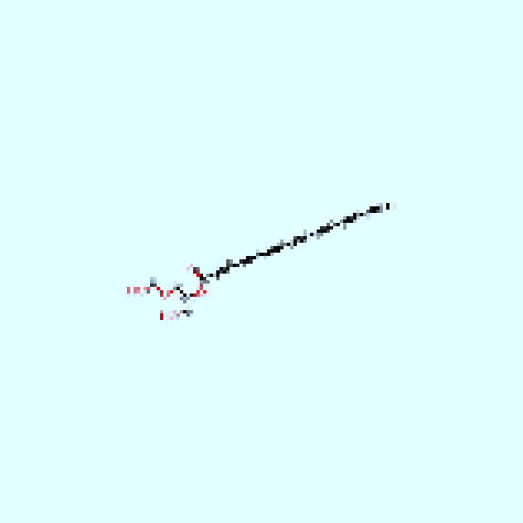 C#CC#CC#CC#CC#CC#CC#CC(=O)O[C@H](CO)COCO